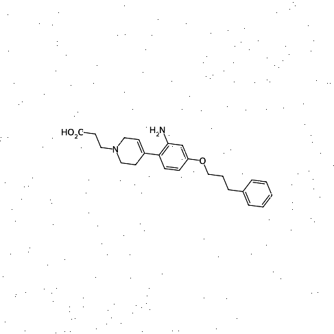 Nc1cc(OCCCc2ccccc2)ccc1C1=CCN(CCC(=O)O)CC1